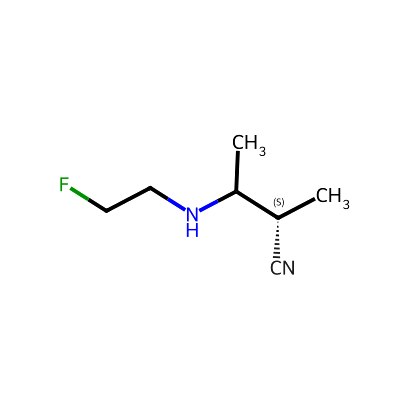 CC(NCCF)[C@H](C)C#N